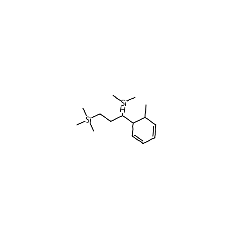 CC1C=CC=CC1C(CC[Si](C)(C)C)[SiH](C)C